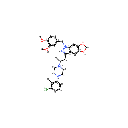 COc1ccc(Cn2nc(CC(C)N3CCN(c4cccc(Cl)c4C)CC3)c3cc4c(cc32)OCO4)cc1OC